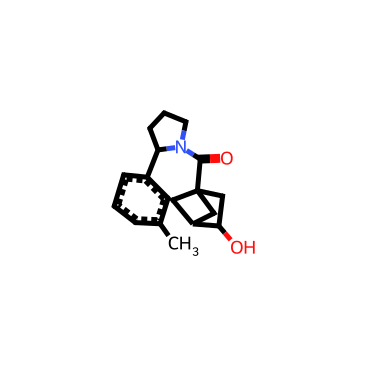 Cc1cccc(C2CCCN2C(=O)C23CC(O)C(C2)C3)c1